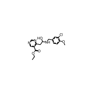 CCOC(=O)c1cncnc1CC(O)NCc1ccc(OC)c(Cl)c1